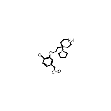 O=CCc1ccc(Cl)c(OCCC2(N3CCCC3)CCNCC2)c1